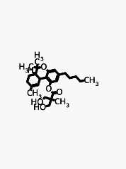 CCCCCc1cc(OC(=O)C(C)(CO)CO)c2c(c1)OC(C)(C)[C@@H]1CCC(C)=CC21